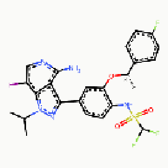 CC(C)n1nc(-c2ccc(NS(=O)(=O)C(F)F)c(O[C@@H](C)c3ccc(F)cc3)c2)c2c(N)ncc(I)c21